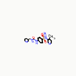 Cc1ccncc1NS(=O)(=O)c1ccc(NC(=O)NCc2cccnc2)cc1